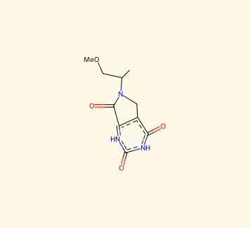 COCC(C)N1Cc2c([nH]c(=O)[nH]c2=O)C1=O